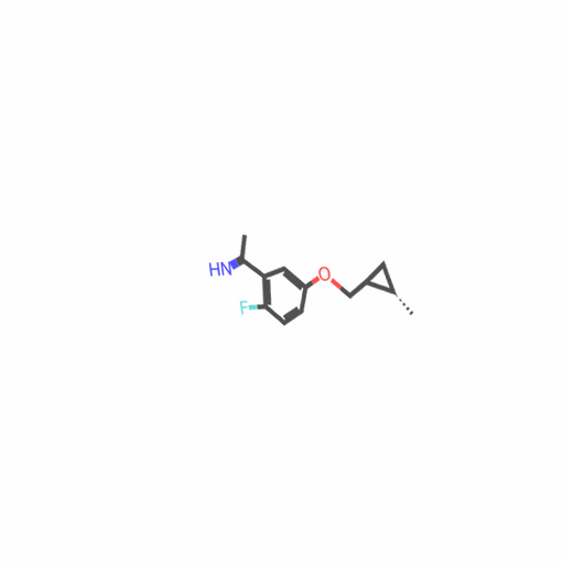 CC(=N)c1cc(OCC2C[C@@H]2C)ccc1F